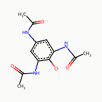 CC(=O)Nc1cc(NC(C)=O)c([O])c(NC(C)=O)c1